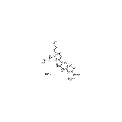 C=CCOc1ccc(C(Nc2ccc(C(=N)N)cc2)C(=O)O)cc1OCC=C.Cl